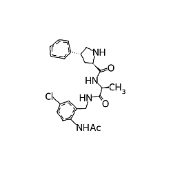 CC(=O)Nc1ccc(Cl)cc1CNC(=O)[C@H](C)NC(=O)[C@H]1C[C@H](c2ccccc2)CN1